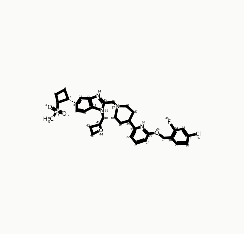 CS(=O)(=O)C1CC[C@@H]1c1ccc2c(c1)nc(CN1CCC(c3cccc(OCc4ccc(Cl)cc4F)n3)CC1)n2CC1CCO1